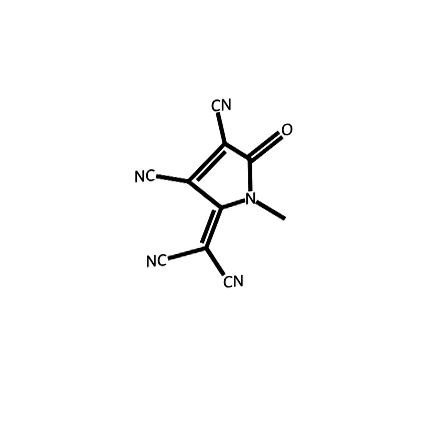 CN1C(=O)C(C#N)=C(C#N)C1=C(C#N)C#N